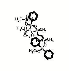 CO[Si](O[Si](C)(C)CC[Si](C)(C)O[Si](O[SiH](C)C)(O[SiH](C)C)c1ccccc1)(c1ccccc1)c1ccccc1